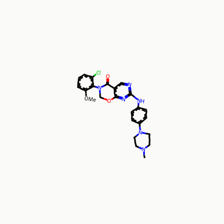 COc1cccc(Cl)c1N1COc2nc(Nc3ccc(N4CCN(C)CC4)cc3)ncc2C1=O